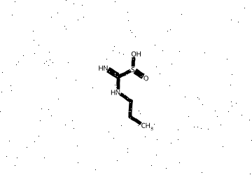 CCCNC(=N)S(=O)O